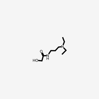 CCN(CC)CCCNC(=O)CO